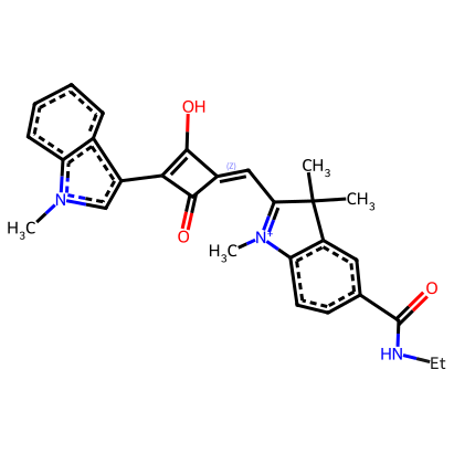 CCNC(=O)c1ccc2c(c1)C(C)(C)C(/C=C1\C(=O)C(c3cn(C)c4ccccc34)=C1O)=[N+]2C